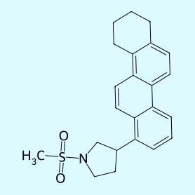 CS(=O)(=O)N1CCC(c2cccc3c2ccc2c4c(ccc23)CCCC4)C1